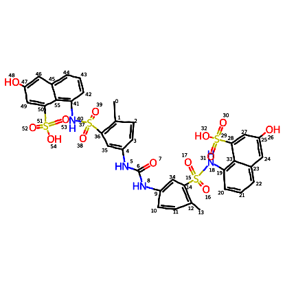 Cc1ccc(NC(=O)Nc2ccc(C)c(S(=O)(=O)Nc3cccc4cc(O)cc(S(=O)(=O)O)c34)c2)cc1S(=O)(=O)Nc1cccc2cc(O)cc(S(=O)(=O)O)c12